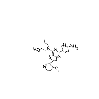 CCCN(CCO)c1nc(-c2ccc(N)nc2)nc2cc(-c3cnccc3OC)sc12